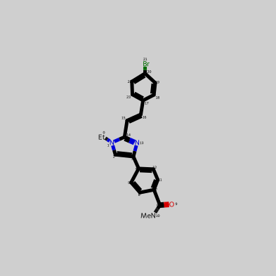 CCn1cc(-c2ccc(C(=O)NC)cc2)nc1/C=C/c1ccc(Br)cc1